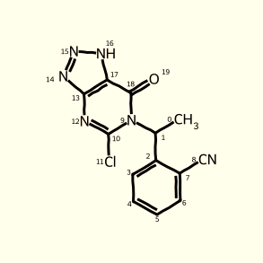 CC(c1ccccc1C#N)n1c(Cl)nc2nn[nH]c2c1=O